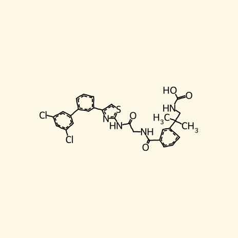 CC(C)(CNC(=O)O)c1cccc(C(=O)NCC(=O)Nc2nc(-c3cccc(-c4cc(Cl)cc(Cl)c4)c3)cs2)c1